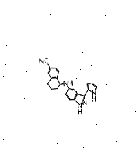 N#Cc1ccc2c(c1)CCCC2Nc1ccc2[nH]nc(-c3ccc[nH]3)c2c1